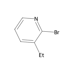 [CH2]Cc1cccnc1Br